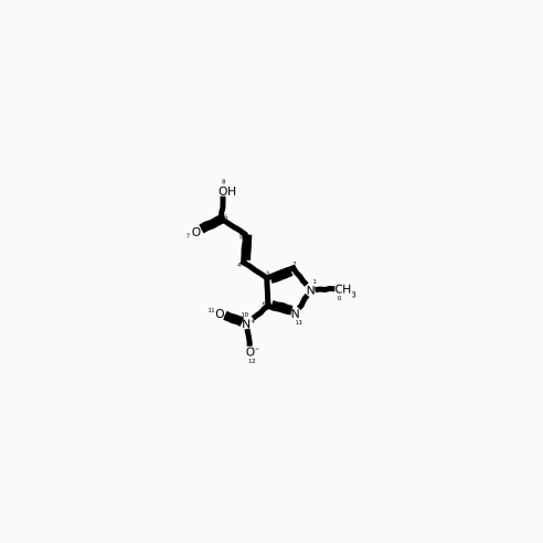 Cn1cc(/C=C/C(=O)O)c([N+](=O)[O-])n1